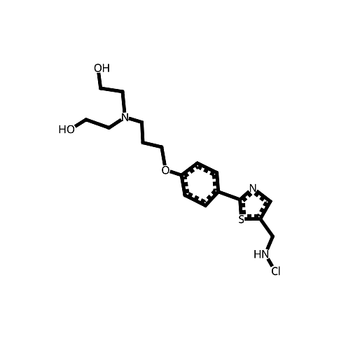 OCCN(CCO)CCCOc1ccc(-c2ncc(CNCl)s2)cc1